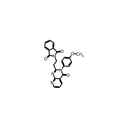 COc1ccc(-n2c(CCN3C(=O)c4ccccc4C3=O)nc3ncccc3c2=O)cc1